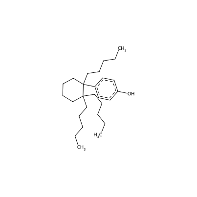 CCCCCC1(CCCCC)CCCCC1(CCCCC)c1ccc(O)cc1